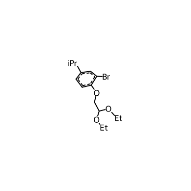 CCOC(COc1ccc(C(C)C)cc1Br)OCC